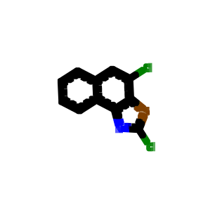 Clc1nc2c(s1)c(Cl)cc1ccccc12